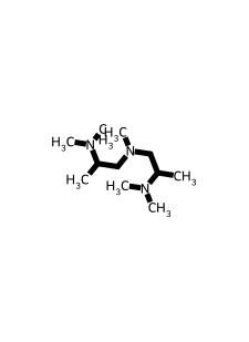 CC(CN(C)CC(C)N(C)C)N(C)C